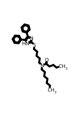 CCCCCCCN(CCCCCSc1nc(-c2ccccc2)c(-c2ccccc2)[nH]1)C(=O)CCCC